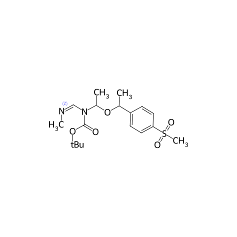 C/N=C\N(C(=O)OC(C)(C)C)C(C)OC(C)c1ccc(S(C)(=O)=O)cc1